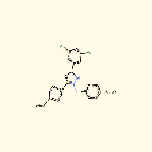 COc1ccc(-c2cc(-c3cc(Cl)cc(Cl)c3)nn2Cc2ccc(C(=O)O)cc2)cc1